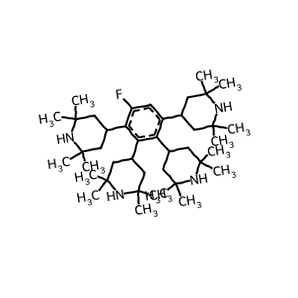 CC1(C)CC(c2cc(F)c(C3CC(C)(C)NC(C)(C)C3)c(C3CC(C)(C)NC(C)(C)C3)c2C2CC(C)(C)NC(C)(C)C2)CC(C)(C)N1